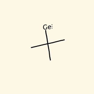 C[C](C)(C)[Ge]